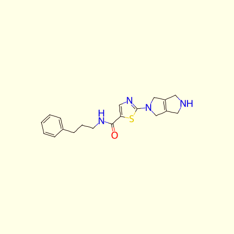 O=C(NCCCc1ccccc1)c1cnc(N2CC3=C(CNC3)C2)s1